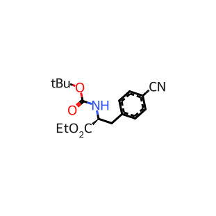 CCOC(=O)[C@H](Cc1ccc(C#N)cc1)NC(=O)OC(C)(C)C